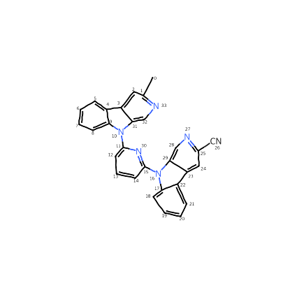 Cc1cc2c3ccccc3n(-c3cccc(-n4c5ccccc5c5cc(C#N)ncc54)n3)c2cn1